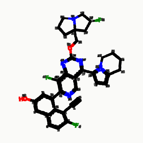 C#Cc1c(F)ccc2cc(O)cc(-c3ncc4c(-c5ccc6n5CCCC6)nc(OC[C@@]56CCCN5C[C@H](F)C6)nc4c3F)c12